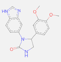 COc1ccc(C2CNC(=O)N2c2ccc3[nH]cnc3c2)cc1OC